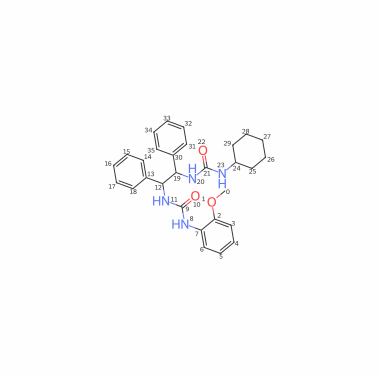 COc1ccccc1NC(=O)NC(c1ccccc1)C(NC(=O)NC1CCCCC1)c1ccccc1